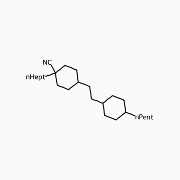 CCCCCCCC1(C#N)CCC(CCC2CCC(CCCCC)CC2)CC1